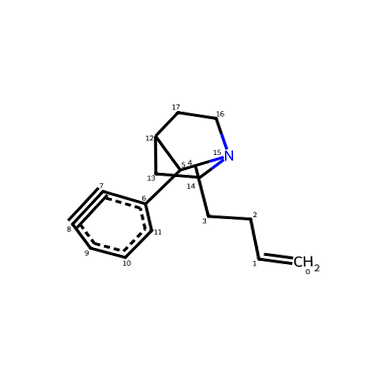 C=CCCC1C(c2c#cccc2)C2CCN1CC2